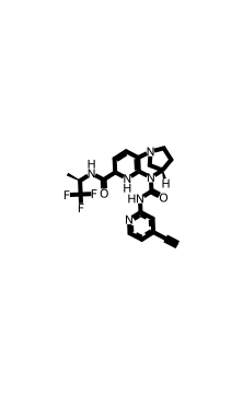 C#Cc1ccnc(NC(=O)N2C3=C(C=CC(C(=O)N[C@H](C)C(F)(F)F)N3)N3CC[C@H]2C3)c1